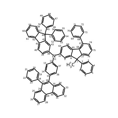 CC1(c2ccccc2)c2cc(N(c3ccc(-c4c(-c5ccccc5)c5ccccc5c5ccccc45)cc3)c3ccc4c(c3)C(c3ccccc3)(c3ccccc3)c3ccccc3-4)ccc2-c2c(-c3ccccc3)cccc21